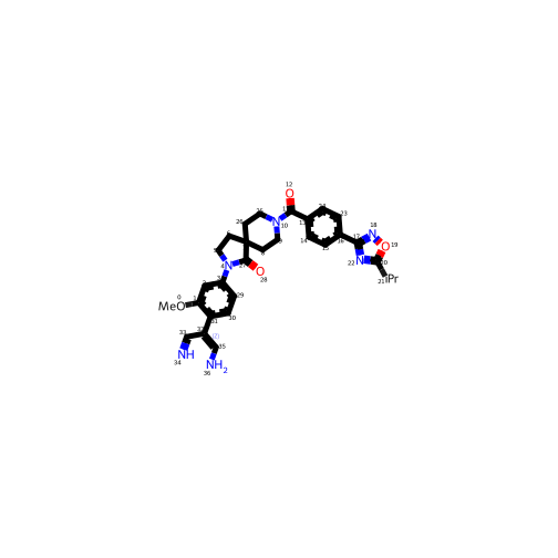 COc1cc(N2CCC3(CCN(C(=O)c4ccc(-c5noc(C(C)C)n5)cc4)CC3)C2=O)ccc1/C(C=N)=C/N